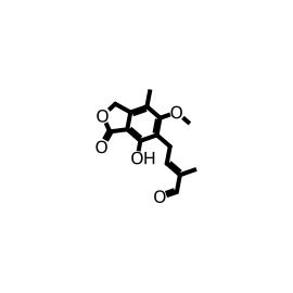 COc1c(C)c2c(c(O)c1C/C=C(\C)C=O)C(=O)OC2